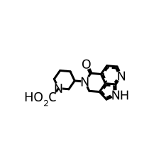 O=C(O)N1CCCC(N2Cc3c[nH]c4nccc(c34)C2=O)C1